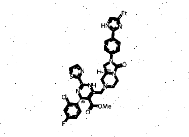 CCc1c[nH]c(-c2ccc(N3C[C@@H]4CN(CC5=C(C(=O)OC)[C@H](c6ccc(F)cc6Cl)N=C(c6nccs6)N5)CCN4C3=O)cc2)n1